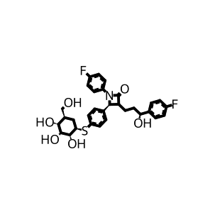 O=C1C(CC[C@H](O)c2ccc(F)cc2)[C@@H](c2ccc(S[C@@H]3C[C@H](CO)[C@@H](O)[C@H](O)[C@H]3O)cc2)N1c1ccc(F)cc1